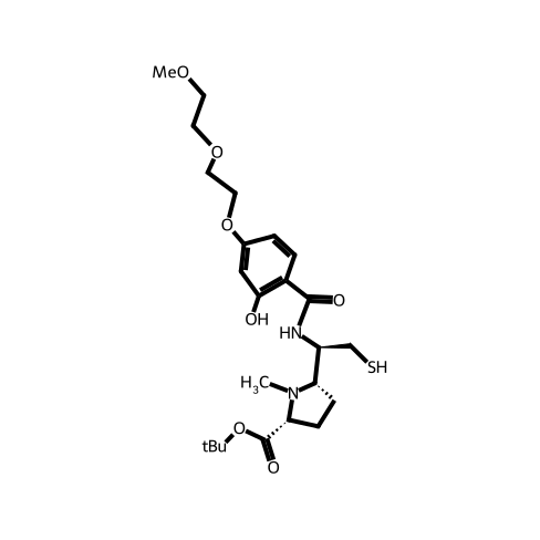 COCCOCCOc1ccc(C(=O)N[C@@H](CS)[C@@H]2CC[C@H](C(=O)OC(C)(C)C)N2C)c(O)c1